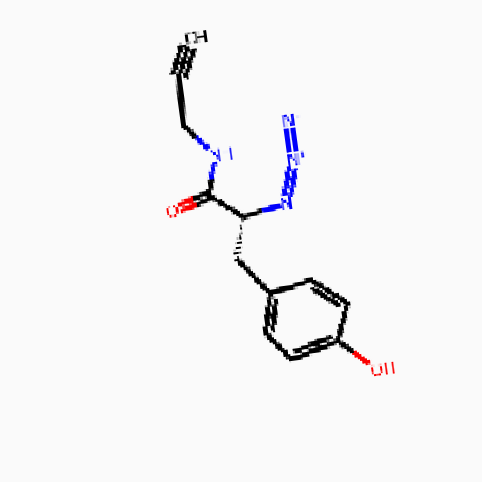 C#CCNC(=O)[C@@H](Cc1ccc(O)cc1)N=[N+]=[N-]